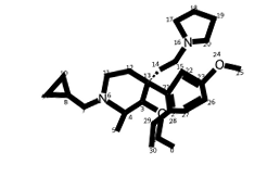 CCOC1C(C)N(CC2CC2)CC[C@@]1(CCN1CCCC1)c1cc(OC)ccc1CC